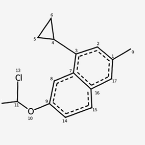 Cc1cc(C2CC2)c2cc(OC(C)Cl)ccc2c1